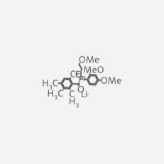 COCCOP(C(=O)c1c(C)cc(C)c(C)c1C)c1ccc(OC)cc1OC.[Li]